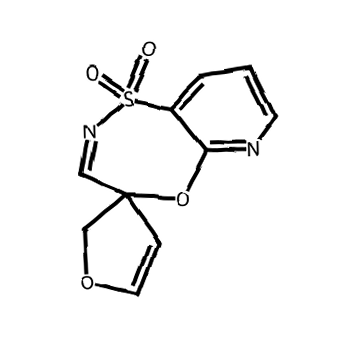 O=S1(=O)N=CC2(C=COC2)Oc2ncccc21